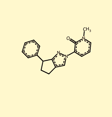 Cn1cccc(-n2cc3c(n2)C(c2ccccc2)CC3)c1=O